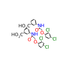 O=C(COc1ccc(Cl)cc1Cl)Nc1cccc(C(=O)O)c1.O=C(COc1ccc(Cl)cc1Cl)Nc1cccc(C(=O)O)c1